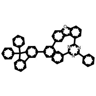 c1ccc(-c2nc(-c3ccccc3)nc(-c3cccc4oc5ccc(-c6cccc(-c7ccc8c(c7)-c7ccccc7C8(c7ccccc7)c7ccccc7)c6)cc5c34)n2)cc1